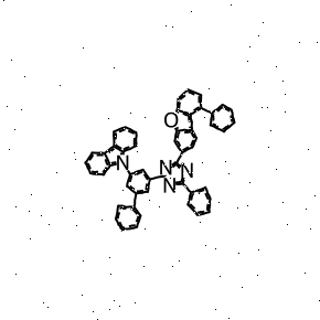 c1ccc(-c2cc(-c3nc(-c4ccccc4)nc(-c4ccc5c(c4)oc4cccc(-c6ccccc6)c45)n3)cc(-n3c4ccccc4c4ccccc43)c2)cc1